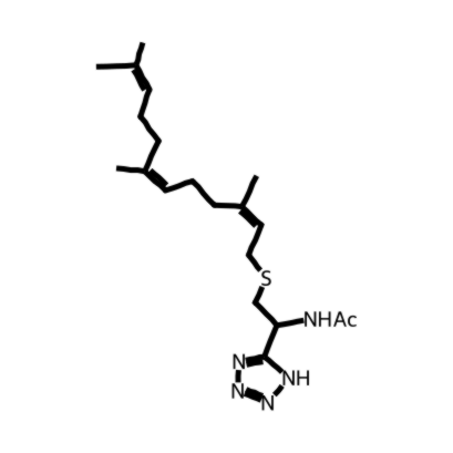 CC(=O)NC(CSCC=C(C)CCC=C(C)CCC=C(C)C)c1nnn[nH]1